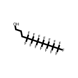 OCCCC(F)(F)C(F)(F)C(F)(F)C(F)(F)C(F)(F)C(F)(F)C(F)(F)F